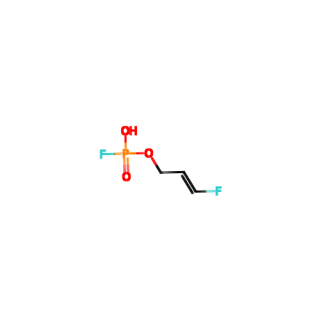 O=P(O)(F)OCC=CF